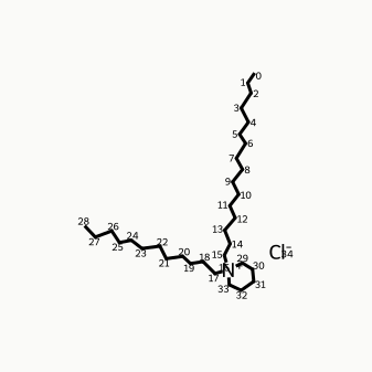 CCCCCCCCCCCCCCCC[N+]1(CCCCCCCCCCCC)CCCCC1.[Cl-]